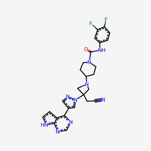 N#CCC1(n2cc(-c3ncnc4[nH]ccc34)cn2)CN(C2CCN(C(=O)Nc3ccc(F)c(F)c3)CC2)C1